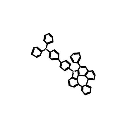 c1ccc(-c2cc3cccc4c3c3c5c(cccc5n(-c5ccc(-c6ccc(N(c7ccccc7)c7ccccc7)cc6)cc5)c23)-c2ccccc2-4)cc1